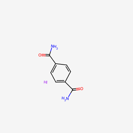 I.NC(=O)c1ccc(C(N)=O)cc1